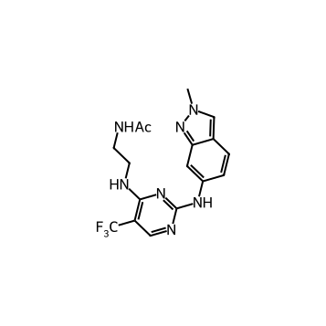 CC(=O)NCCNc1nc(Nc2ccc3cn(C)nc3c2)ncc1C(F)(F)F